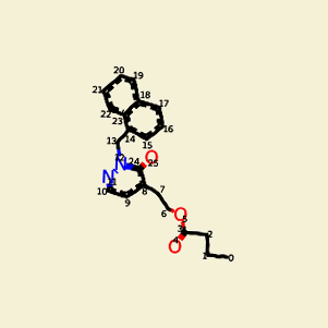 CCCC(=O)OCCc1ccnn(Cc2cccc3ccccc23)c1=O